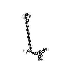 CCN(CCOCCOCCOCCOCCOCCOCCOCCOc1cccc(NNC(N)=O)c1)CCOc1ccc(C(=O)c2c(-c3ccc(O)cc3)sc3cc(O)ccc23)cc1